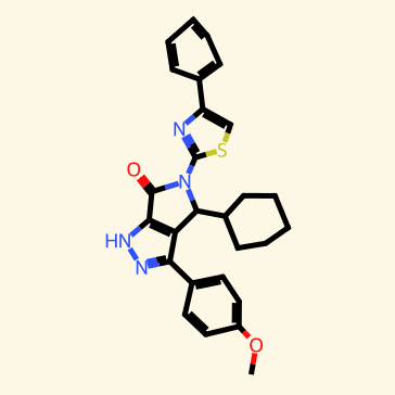 COc1ccc(-c2n[nH]c3c2C(C2CCCCC2)N(c2nc(-c4ccccc4)cs2)C3=O)cc1